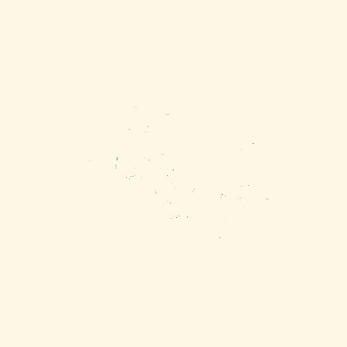 CC(C)(C)OC(=O)N[C@H](c1cn2ncc(C(NC(=O)C(F)(F)CC3CC3)C3CC3)cc2n1)C1CCC(F)(F)CC1